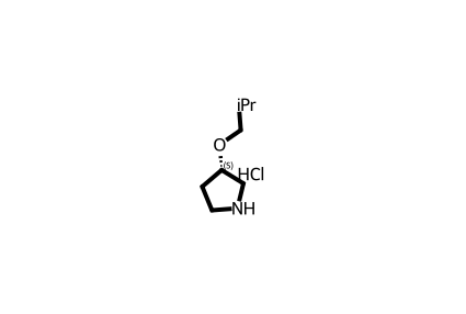 CC(C)CO[C@H]1CCNC1.Cl